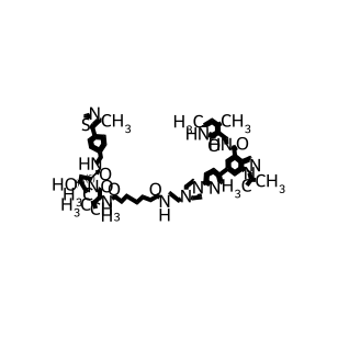 Cc1cc(C)c(CNC(=O)c2cc(-c3ccc(N4CCN(CCNC(=O)CCCCCC(=O)NC(C(=O)N5C[C@H](O)C[C@H]5C(=O)NCc5ccc(-c6scnc6C)cc5)C(C)(C)C)CC4)nc3)cc3c2cnn3C(C)C)c(=O)[nH]1